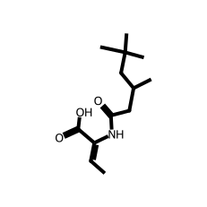 CC=C(NC(=O)CC(C)CC(C)(C)C)C(=O)O